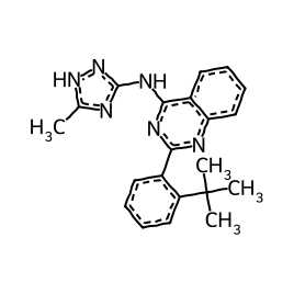 Cc1nc(Nc2nc(-c3ccccc3C(C)(C)C)nc3ccccc23)n[nH]1